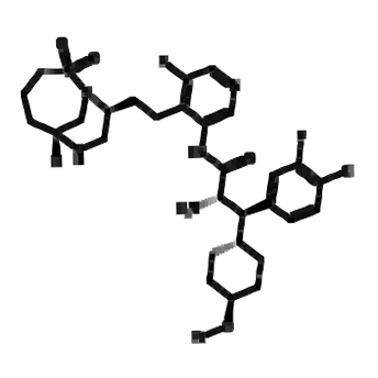 CCO[C@H]1CC[C@H]([C@H](c2ccc(Cl)c(F)c2)[C@H](N)C(=O)Nc2cncc(F)c2CC[C@H]2CN[C@@H]3CCCS(=O)(=O)N2C3)CC1